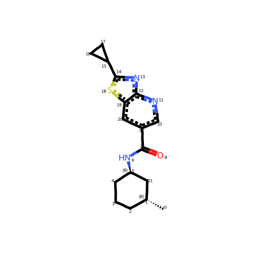 C[C@@H]1CCC[C@@H](NC(=O)c2cnc3nc(C4CC4)sc3c2)C1